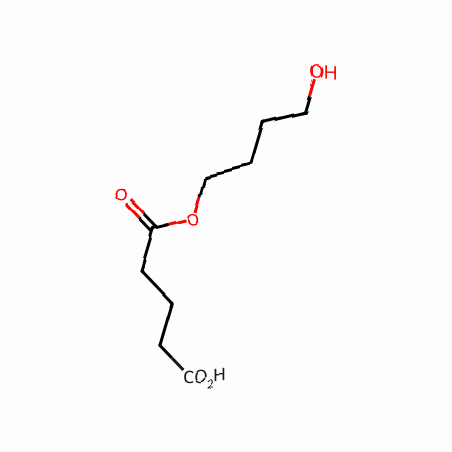 O=C(O)CCCC(=O)OCCCCO